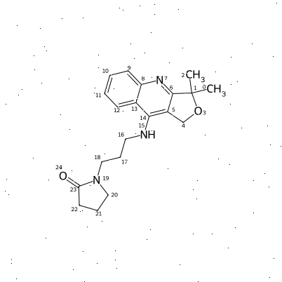 CC1(C)OCc2c1nc1ccccc1c2NCCCN1CCCC1=O